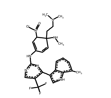 CNC1(CCN(C)C)C=CC(Nc2ncc(C(F)(F)F)c(-c3c[nH]c4c(C)cccc34)n2)=CC1[N+](=O)[O-]